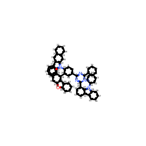 c1ccc(C2N=C(c3ccc(-n4c5ccccc5c5cc6ccccc6cc54)c(-c4c5ccccc5cc5oc6ccccc6c45)c3)N=C(c3cccc4c5ccccc5n(-c5ccccc5)c34)N2)cc1